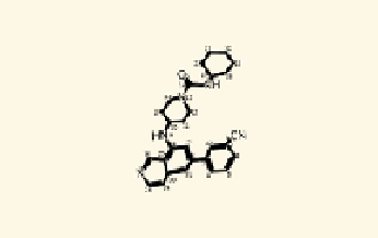 N#Cc1cccc(-c2cc(NC3CCN(C(=O)NC4CCCCC4)CC3)c3cnccc3c2)c1